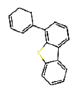 C1=CCCC(c2cccc3c2sc2ccccc23)=C1